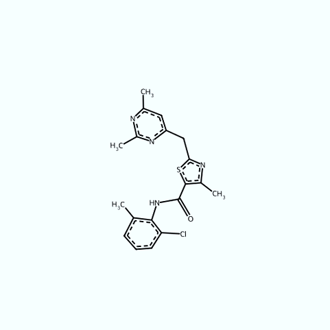 Cc1cc(Cc2nc(C)c(C(=O)Nc3c(C)cccc3Cl)s2)nc(C)n1